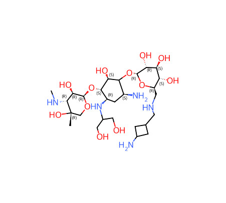 CN[C@@H]1[C@@H](O)[C@@H](O[C@H]2[C@H](NC(CO)CO)C[C@H](N)C(O[C@H]3O[C@H](CNCC4CC(N)C4)[C@@H](O)[C@H](O)[C@H]3O)[C@@H]2O)OC[C@]1(C)O